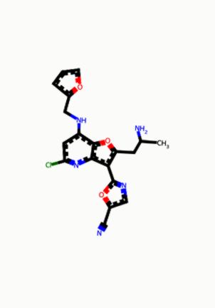 CC(N)Cc1oc2c(NCc3ccco3)cc(Cl)nc2c1-c1ncc(C#N)o1